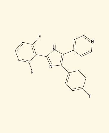 FC1=CC=C(c2nc(-c3c(F)cccc3F)[nH]c2-c2ccncc2)CC1